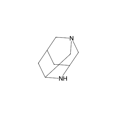 C1C2CC3CN(C2)CC1N3